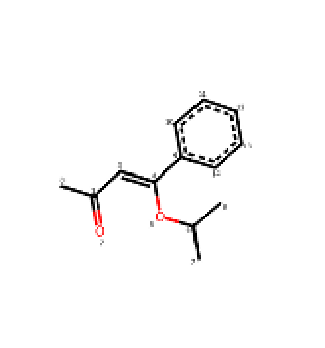 CC(=O)C=C(OC(C)C)c1ccccc1